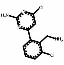 NCc1c(Cl)cccc1-c1cc(Cl)nc(N)n1